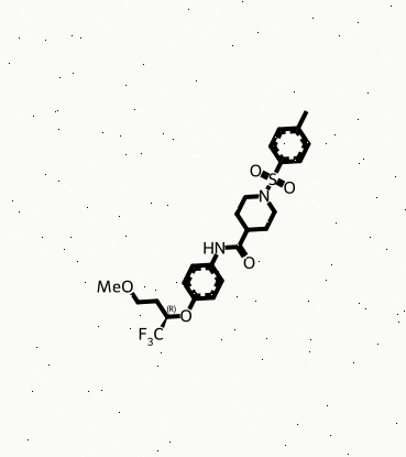 COCC[C@@H](Oc1ccc(NC(=O)C2CCN(S(=O)(=O)c3ccc(C)cc3)CC2)cc1)C(F)(F)F